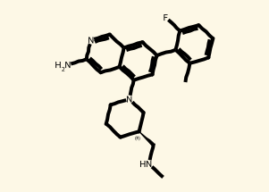 CNC[C@H]1CCCN(c2cc(-c3c(C)cccc3F)cc3cnc(N)cc23)C1